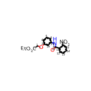 CCOC(=O)COc1cccc(NC(=O)c2ccccc2[N+](=O)[O-])c1